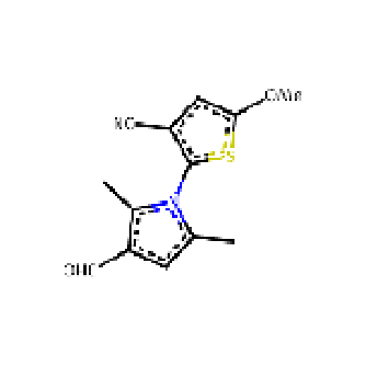 COc1cc(C#N)c(-n2c(C)cc(C=O)c2C)s1